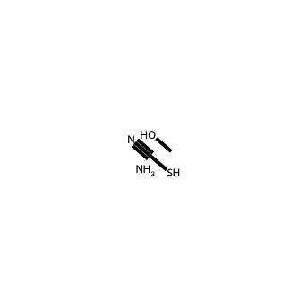 CO.N.N#CS